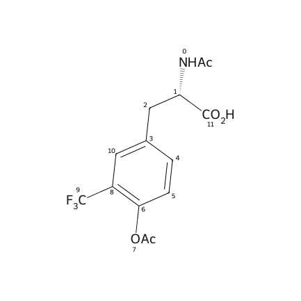 CC(=O)N[C@@H](Cc1ccc(OC(C)=O)c(C(F)(F)F)c1)C(=O)O